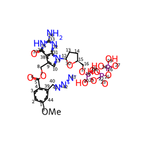 COc1ccc(C(=O)OCc2cn([C@H]3CC[C@@H](COP(=O)(O)OP(=O)(O)OP(=O)(O)O)O3)c3nc(N)[nH]c(=O)c23)c(CN=[N+]=[N-])c1